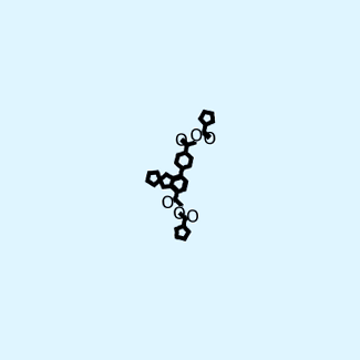 O=C(COC(=O)C1CCCC1)c1ccc(C2CCC(C(=O)COC(=O)C3CCCC3)CC2)c2c1CC1(CCCC1)C2